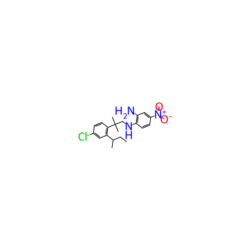 CCC(C)c1cc(Cl)ccc1C(C)(C)CNc1ccc([N+](=O)[O-])cc1N